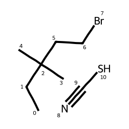 CCC(C)(C)CCBr.N#CS